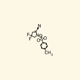 Cc1ccc(S(=O)(=O)ON2CC(F)(F)C[C@H]2C#N)cc1